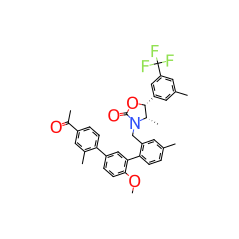 COc1ccc(-c2ccc(C(C)=O)cc2C)cc1-c1ccc(C)cc1CN1C(=O)O[C@H](c2cc(C)cc(C(F)(F)F)c2)[C@@H]1C